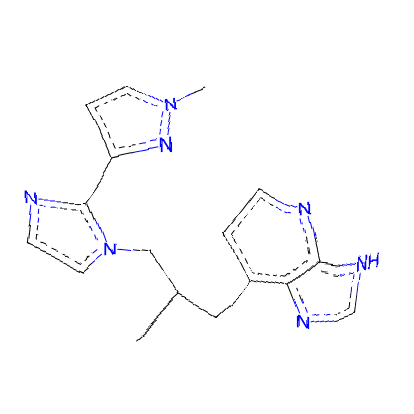 CC(Cc1ccnc2[nH]cnc12)Cn1ccnc1-c1ccn(C)n1